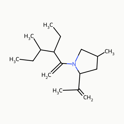 C=C(C)C1CC(C)CN1C(=C)C(CC)C(C)CC